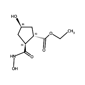 CCOC(=O)[C@H]1C[C@H](O)C[C@@H]1C(=O)NO